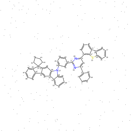 c1ccc(-c2cc(-c3cccc4c3sc3ccccc34)nc(-c3cccc(-n4c5ccccc5c5cc6c(cc54)C4(CCCC4)c4ccccc4-6)c3)n2)cc1